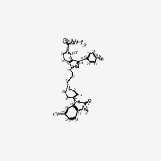 Cn1c(=O)n(C2CCN(CCCn3nc(-c4ccc(Br)cc4)c4c3CCN(C(N)=O)C4)CC2)c2cc(Cl)ccc21